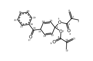 C=C(C)C(=O)OC1(OC(=O)C(=C)C)C=CC(C(=O)c2ccccc2)C=C1